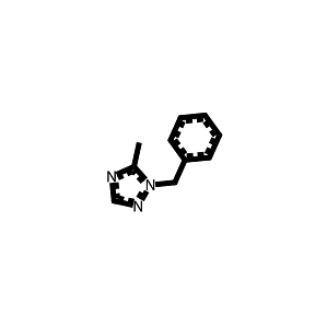 Cc1ncnn1Cc1ccccc1